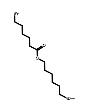 CCCCCCCCCCCCCCCCOC(=O)CCCCCC(C)C